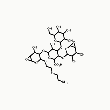 NCCOCCOC1OC2OC2C(O)C1OC1OC(C(=O)O)C(OC2OC3OC3C(O)C2O)C(OC2OC(CO)C(O)C(O)C2O)C1O